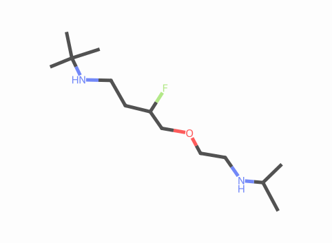 CC(C)NCCOCC(F)CCNC(C)(C)C